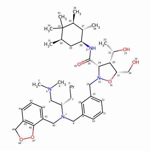 CC(C)C[C@@H](CN(C)C)N(Cc1cccc(CN2O[C@@H](CO)[C@@H]([C@H](C)O)[C@H]2C(=O)N[C@H]2C[C@@H](C)C(C)(C)[C@@H](C)[C@@H]2C)c1)Cc1cccc2c1OOC2